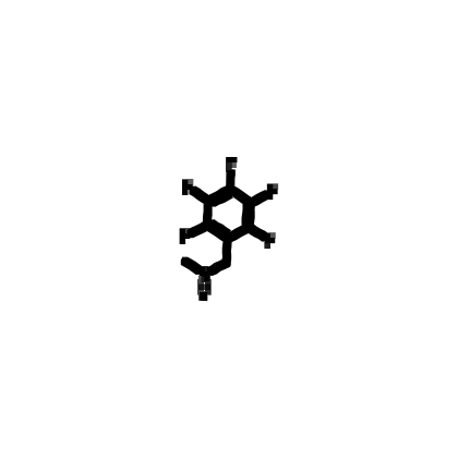 C[SH](C)Cc1c(F)c(F)c(F)c(F)c1F